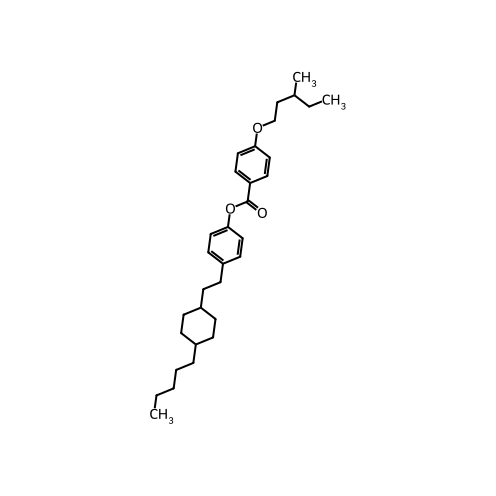 CCCCCC1CCC(CCc2ccc(OC(=O)c3ccc(OCCC(C)CC)cc3)cc2)CC1